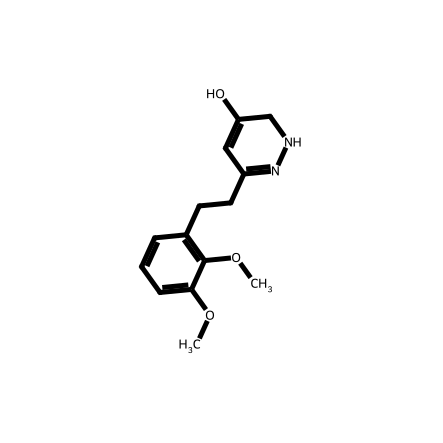 COc1cccc(CCC2=NNCC(O)=C2)c1OC